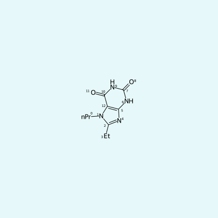 CCCn1c(CC)nc2[nH]c(=O)[nH]c(=O)c21